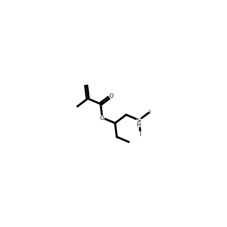 C=C(C)C(=O)OC(CC)C[SiH](I)I